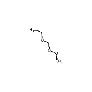 CCOCOOC